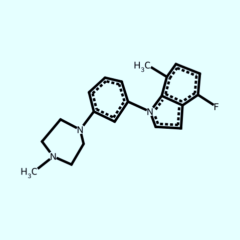 Cc1ccc(F)c2ccn(-c3cccc(N4CCN(C)CC4)c3)c12